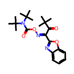 CC(C)(C)C(=O)/C(=N\OC(=O)N(C(C)(C)C)C(C)(C)C)c1nc2ccccc2o1